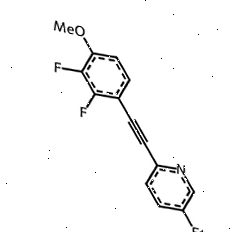 CCc1ccc(C#Cc2ccc(OC)c(F)c2F)nc1